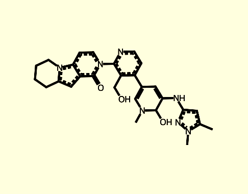 Cc1cc(NC2=CC(c3ccnc(-n4ccc5c(cc6n5CCCC6)c4=O)c3CO)=CN(C)C2O)nn1C